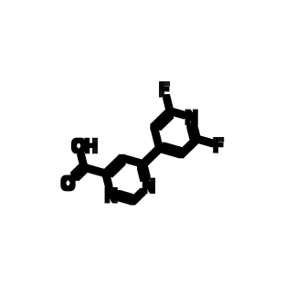 O=C(O)c1cc(-c2cc(F)nc(F)c2)ncn1